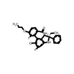 CCCOc1ccc(C(N)=O)c(-c2c(Cl)c(F)cc3c2C[C@@](CC)(c2ccccc2)N3)c1F